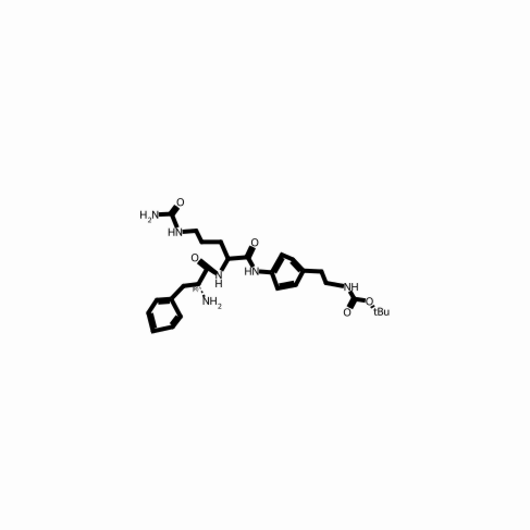 CC(C)(C)OC(=O)NCCc1ccc(NC(=O)C(CCCNC(N)=O)NC(=O)[C@H](N)Cc2ccccc2)cc1